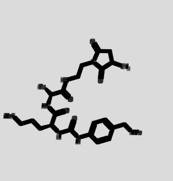 CC[C@H](C)[C@H](NC(=O)[C@H](CCCSC)NC(=O)Nc1ccc(CNC)cc1)C(=O)NCCN1C(=O)CC(C)C1=O